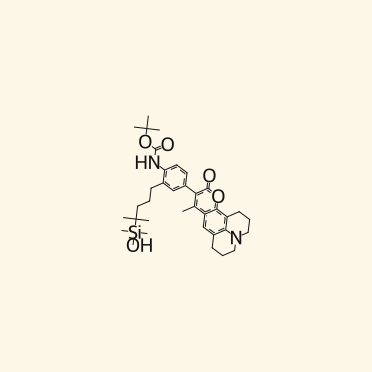 Cc1c(-c2ccc(NC(=O)OC(C)(C)C)c(CCCC(C)(C)[Si](C)(C)O)c2)c(=O)oc2c3c4c(cc12)CCCN4CCC3